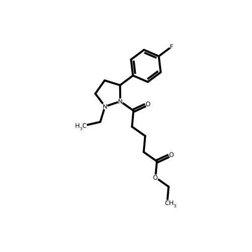 CCOC(=O)CCCC(=O)N1C(c2ccc(F)cc2)CCN1CC